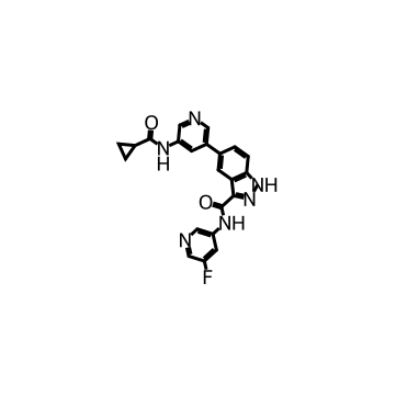 O=C(Nc1cncc(F)c1)c1n[nH]c2ccc(-c3cncc(NC(=O)C4CC4)c3)cc12